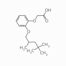 CC(COc1ccccc1OCC(=O)O)CC(C)(C)C